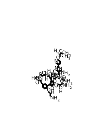 Cc1nc(-c2ccc(OCCC(C)(C)C)nc2)nc(N)c1C(=O)N[C@@H](CNS(N)(=O)=O)C(=O)N(C)[C@@H]1C(=O)N[C@@H](C)C(=O)N[C@H](C(=O)O)Cc2ccc(OCCCN)c(c2)-c2cc1cc(OC[C@H](O)CN)c2O